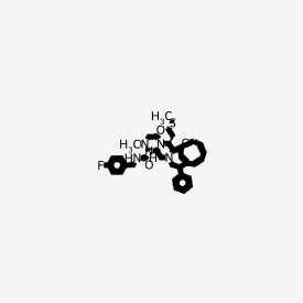 CSCC[C@@H]1N2C(=O)CN(C)N(C(=O)NCc3ccc(F)cc3)[C@H]2CN2CC(c3ccccc3)C3=CC4OC(/C=C\C=C/3)C412